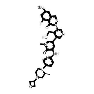 C[C@H]1CN(C2COC2)CCN1c1ccc(Nc2cc(-c3cncc(-n4ncc5cc(C(C)(C)C)cc(F)c5c4=O)c3CO)cn(C)c2=O)nc1